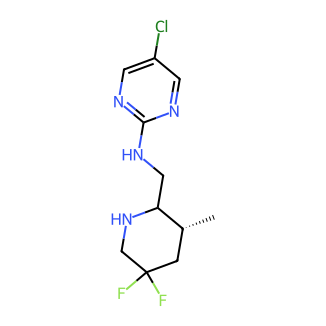 C[C@@H]1CC(F)(F)CNC1CNc1ncc(Cl)cn1